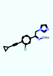 CO/N=C(\Cn1ccnc1)c1ccc(C#CC2CC2)c(Cl)c1